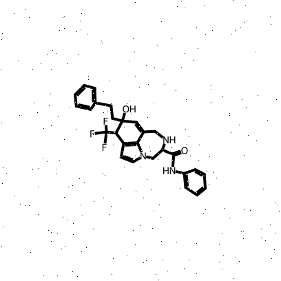 O=C(Nc1ccccc1)C1Cn2ccc3c2C(=CC(O)(CCc2ccccc2)C3C(F)(F)F)CN1